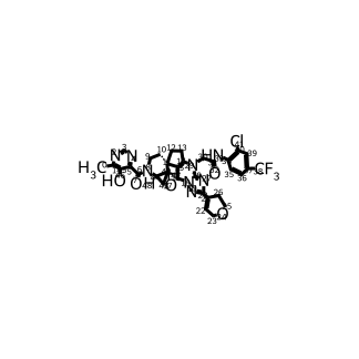 Cc1ncnc(C(=O)N2CC[C@@]3(CCc4c3c(=O)n3nc(C5=CCOCC5)nc3n4CC(=O)Nc3ccc(C(F)(F)F)cc3Cl)[C@@H]3C[C@@H]32)c1O